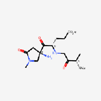 CN[C@@H](C)C(=O)CN[C@@H](CCC(=O)O)C(=O)[C@@]1(N)CC(=O)N(C)C1